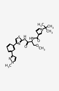 COCC(NC(=O)c1ccn(C(C)(C)C)c1)C(=O)Nc1nc(-c2cccc(-c3ccn(C)n3)c2)cs1